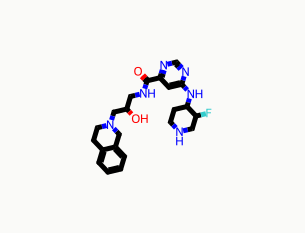 O=C(NCC(O)CN1CCc2ccccc2C1)c1cc(NC2CCNCC2F)ncn1